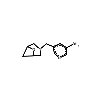 Bc1cncc(CN2CC3CC(C2)O3)c1